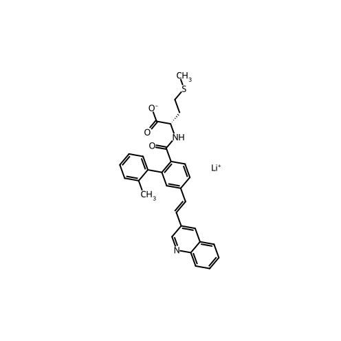 CSCC[C@H](NC(=O)c1ccc(C=Cc2cnc3ccccc3c2)cc1-c1ccccc1C)C(=O)[O-].[Li+]